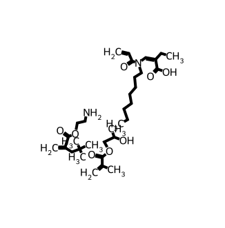 C=C(C)C(=O)OCC(C)O.C=C(CC(C)(C)C)C(=O)OCCN.C=CC(=O)N(C=C(CC)C(=O)O)CCCCCCCC